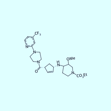 CCOC(=O)N1CCC(N[C@@H]2C=C[C@H](C(=O)N3CCN(c4cc(C(F)(F)F)ccn4)CC3)C2)C(OC)C1